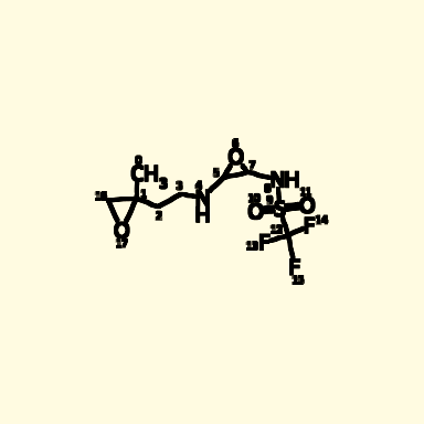 CC1(CCNC2OC2NS(=O)(=O)C(F)(F)F)CO1